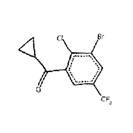 O=C(c1cc(C(F)(F)F)cc(Br)c1Cl)C1CC1